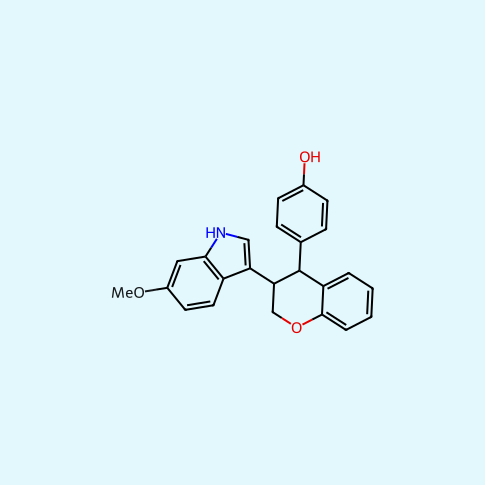 COc1ccc2c(C3COc4ccccc4C3c3ccc(O)cc3)c[nH]c2c1